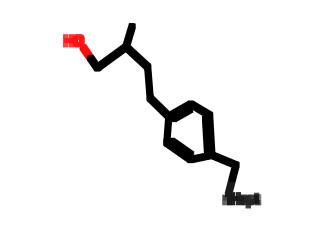 CCCCCCCCc1ccc(CCC(C)CO)cc1